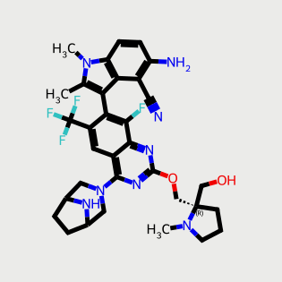 Cc1c(-c2c(C(F)(F)F)cc3c(N4CC5CCC(C4)N5)nc(OC[C@]4(CO)CCCN4C)nc3c2F)c2c(C#N)c(N)ccc2n1C